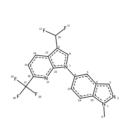 Cn1ncc2cc(-n3cc(C(F)F)c4ccc(C(F)(F)F)nc43)ccc21